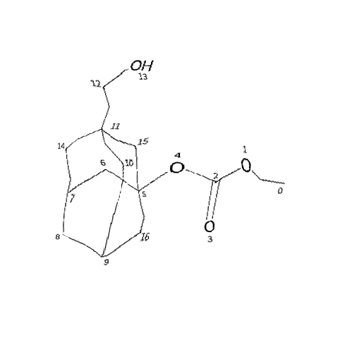 COC(=O)OC12CC3CC(CC(CO)(C3)C1)C2